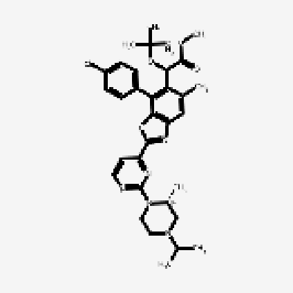 COC(=O)C(OC(C)(C)C)c1c(C)cc2nc(-c3ccnc(N4CCN(C(C)C)C[C@H]4C)n3)sc2c1-c1ccc(Cl)cc1